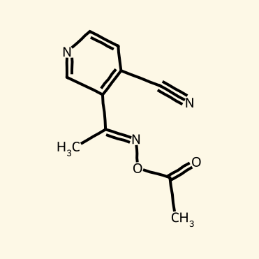 CC(=O)ON=C(C)c1cnccc1C#N